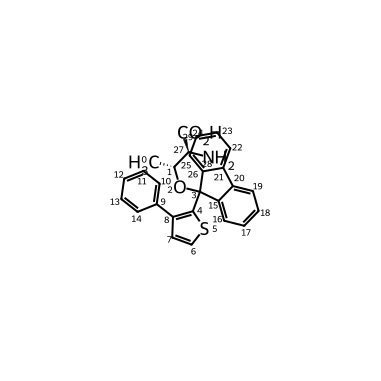 C[C@@H](OC1(c2sccc2-c2ccccc2)c2ccccc2-c2ccccc21)[C@H](N)C(=O)O